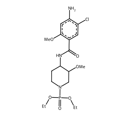 CCOP(=O)(OCC)N1CCC(NC(=O)c2cc(Cl)c(N)cc2OC)C(OC)C1